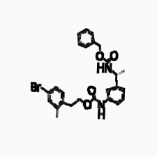 Cc1cc(Br)ccc1CCOC(=O)Nc1cccc([C@@H](C)NC(=O)OCc2ccccc2)c1